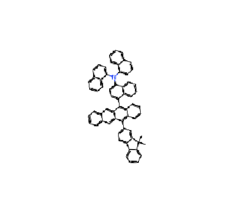 CC1(C)c2ccccc2-c2ccc(-c3c4ccccc4c(-c4ccc(N(c5cccc6ccccc56)c5cccc6ccccc56)c5ccccc45)c4cc5ccccc5cc34)cc21